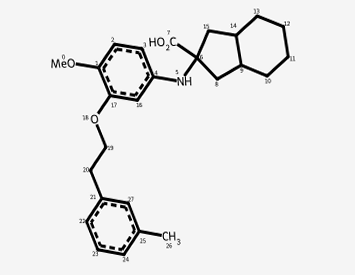 COc1ccc(NC2(C(=O)O)CC3CCCCC3C2)cc1OCCc1cccc(C)c1